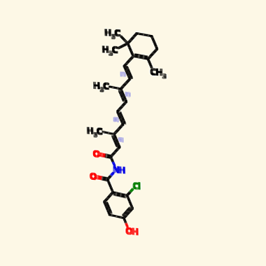 CC1=C(/C=C/C(C)=C/C=C/C(C)=C/C(=O)NC(=O)c2ccc(O)cc2Cl)C(C)(C)CCC1